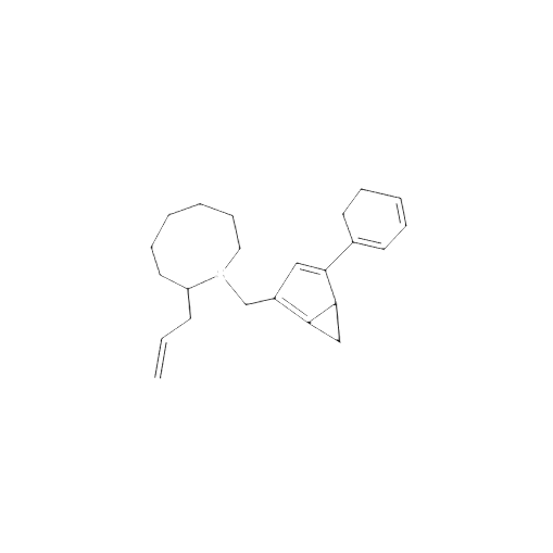 C=CCC1CCCCCCN1CC1=C2CC2C(C2=CC=CCC2)=C1